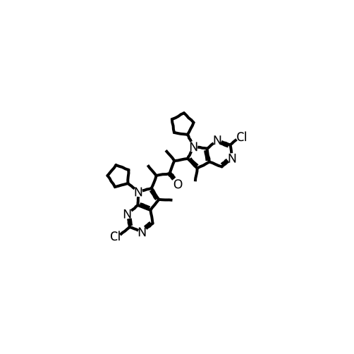 Cc1c(C(C)C(=O)C(C)c2c(C)c3cnc(Cl)nc3n2C2CCCC2)n(C2CCCC2)c2nc(Cl)ncc12